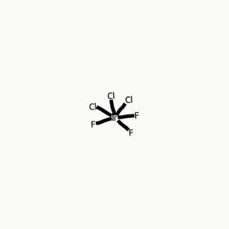 [F][Ir]([F])([F])([Cl])([Cl])[Cl]